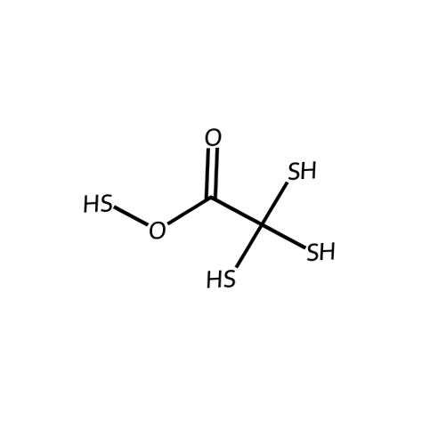 O=C(OS)C(S)(S)S